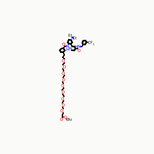 CCN(CC)c1ccc(NC(=O)c2cccc(CCCOCCOCCOCCOCCOCCOCCOCCOCCOCCC(=O)OC(C)(C)C)c2)c(-c2cc(C(=O)NCc3cccc(C(F)(F)F)c3)ccn2)c1